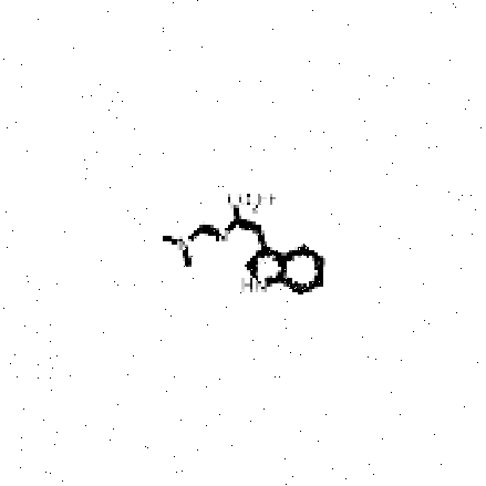 CCOC(=O)C(=Cc1c[nH]c2ccccc12)N=CN(C)C